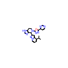 CC(C)c1cccn2nc(C3c4nc[nH]c4CCN3c3nnc(-c4ccncn4)o3)cc12